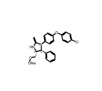 C=C1N[C@@H](COOC)[C@H](c2ccccc2)N1c1ccc(Oc2ccc(Cl)cc2)cc1